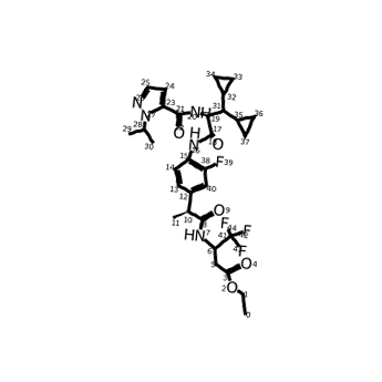 CCOC(=O)CC(NC(=O)[C@@H](C)c1ccc(NC(=O)[C@@H](NC(=O)c2ccnn2C(C)C)C(C2CC2)C2CC2)c(F)c1)C(F)(F)F